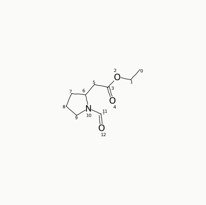 CCOC(=O)CC1CCCN1[C]=O